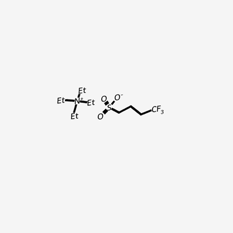 CC[N+](CC)(CC)CC.O=S(=O)([O-])CCCC(F)(F)F